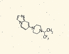 CC(N1CCN(c2ccn3ccnc3c2)CC1)C(F)(F)F